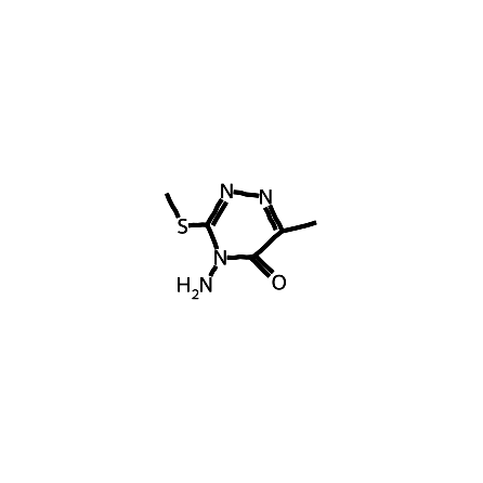 CSc1nnc(C)c(=O)n1N